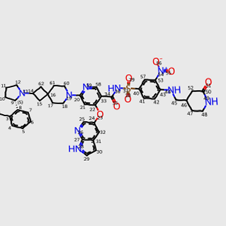 CC(C)c1ccccc1[C@@H]1CCCN1C1CC2(CCN(c3cc(Oc4cnc5[nH]ccc5c4)c(C(=O)NS(=O)(=O)c4ccc(NCC5CCNC(=O)C5)c([N+](=O)[O-])c4)cn3)CC2)C1